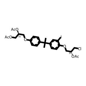 CC(=O)OC[C@H](COc1ccc(C(C)(C)c2ccc(OC[C@H](CCl)OC(C)=O)c(I)c2)cc1)OC(C)=O